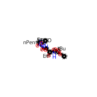 CCCCC[C@@H](C(=O)NCNC(=O)c1ccc(-c2cc(OCC)cc(C(=O)N[C@@H](CC(=O)OCc3ccccc3)C(=O)OC(C)(C)C)c2)o1)[C@@H](CC)N(C=O)OCc1ccccc1